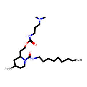 CCCCCCCCCCCCCCCCCCNC(=O)N1CCC(NC(C)=O)CC1CCOC(=O)NCCCN(C)C